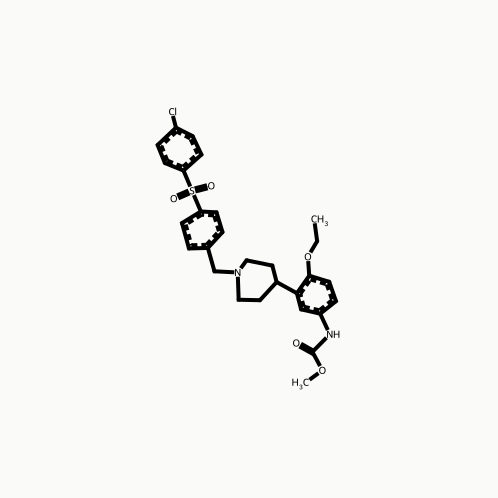 CCOc1ccc(NC(=O)OC)cc1C1CCN(Cc2ccc(S(=O)(=O)c3ccc(Cl)cc3)cc2)CC1